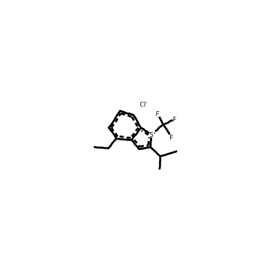 CCc1cccc2c1cc(C(C)C)[s+]2C(F)(F)F.[Cl-]